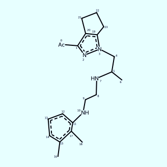 CC(=O)c1nn(CC(C)NCCNc2cccc(C)c2C)c2c1CCC2